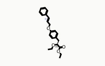 CCOC(=O)[C@H](Cc1ccc(OC/C=C/c2ccccc2)cc1)OCC